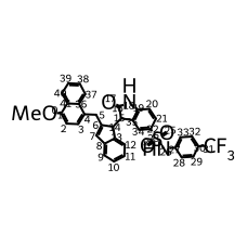 COc1ccc(CC2=Cc3ccccc3C2C2C(=O)Nc3ccc(S(=O)(=O)Nc4ccc(C(F)(F)F)cc4)cc32)c2ccccc12